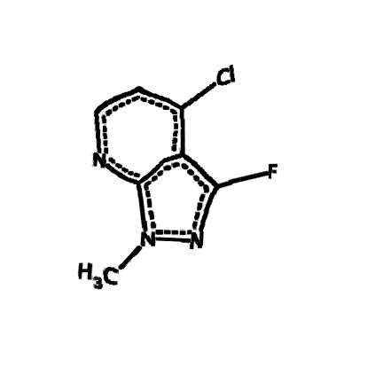 Cn1nc(F)c2c(Cl)ccnc21